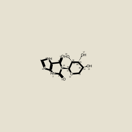 O=c1[nH]c2nc[nH]c2c(=O)n1[C@@H]1OC[C@@H](O)[C@@H](O)[C@H]1O